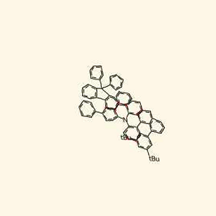 CC(C)(C)c1cc(-c2cccc3cccc(-c4ccccc4N(c4ccccc4-c4ccc5c(c4)C(c4ccccc4)(c4ccccc4)c4ccccc4-5)c4ccc(-c5ccccc5)cc4-c4ccccc4)c23)cc(C(C)(C)C)c1